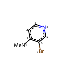 CNc1ccncc1Br